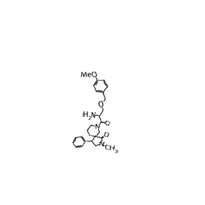 COc1ccc(COCC(N)C(=O)N2CCCC3(C2)C(=O)N(C)CC3c2ccccc2)cc1